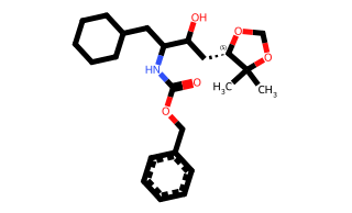 CC1(C)OCO[C@H]1CC(O)C(CC1CCCCC1)NC(=O)OCc1ccccc1